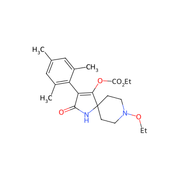 CCOC(=O)OC1=C(c2c(C)cc(C)cc2C)C(=O)NC12CCN(OCC)CC2